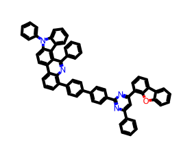 c1ccc(-c2cc(-c3cccc4c3oc3ccccc34)nc(-c3ccc(-c4ccc(-c5cccc6c5nc(-c5ccccc5)c5c6ccc6c5c5ccccc5n6-c5ccccc5)cc4)cc3)n2)cc1